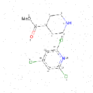 COC(=O)C1CCNCC1.Clc1cc(Cl)nc(Cl)c1